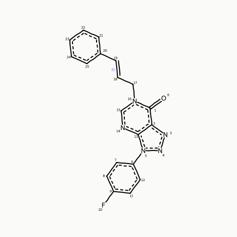 O=c1c2nnn(-c3ccc(F)cc3)c2ncn1C/C=C/c1ccccc1